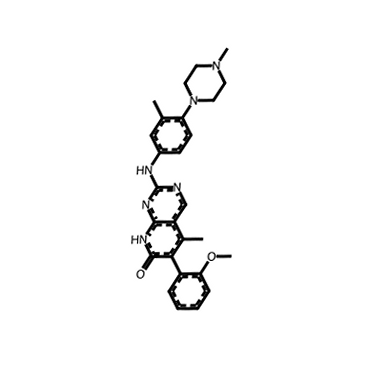 COc1ccccc1-c1c(C)c2cnc(Nc3ccc(N4CCN(C)CC4)c(C)c3)nc2[nH]c1=O